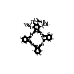 C[C](C)(C)[Ti][c]1[c]([Ti][C](C)(C)C)[c]([Ti][C](C)(C)C)c2c3nc4nc(nc5[nH]c(nc6nc(nc([nH]3)c2[c]1[Ti][C](C)(C)C)-c1ccccc1-6)c1ccccc51)-c1ccccc1-4